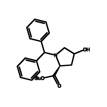 CC(C)COC(=O)[C@@H]1CC(O)CN1C(c1ccccc1)c1ccccc1